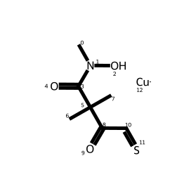 CN(O)C(=O)C(C)(C)C(=O)C=S.[Cu]